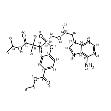 CCOC(=O)c1ccc(O[P@@](=O)(CO[C@H](C)Cn2cnc3c(N)ncnc32)NC(C)(C)C(=O)OC(C)C)cc1